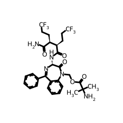 CC(C)(N)C(=O)OCN1C(=O)[C@@H](NC(=O)[C@H](CCC(F)(F)F)[C@H](CCC(F)(F)F)C(N)=O)N=C(c2ccccc2)c2ccccc21